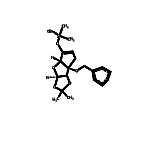 CC1(C)OC2[C@H](O[C@@H]3C(O[Si](C)(C)C(C)(C)C)=CC[C@]23OCc2ccccc2)O1